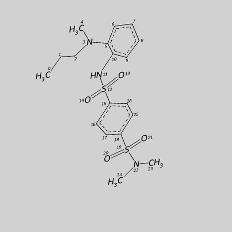 CCCN(C)c1ccccc1NS(=O)(=O)c1ccc(S(=O)(=O)N(C)C)cc1